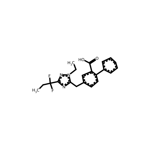 CCn1nc(C(F)(F)CC)nc1Cc1ccc(-c2ccccc2)c(C(=O)O)c1